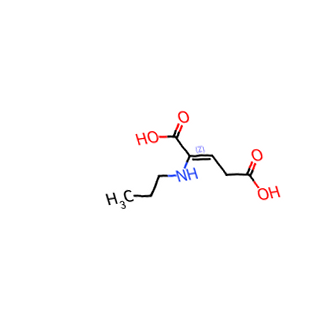 CCCN/C(=C\CC(=O)O)C(=O)O